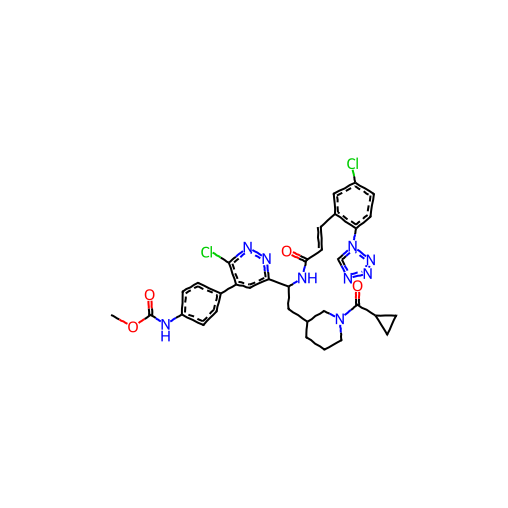 COC(=O)Nc1ccc(-c2cc(C(CC3CCCN(C(=O)C4CC4)C3)NC(=O)C=Cc3cc(Cl)ccc3-n3cnnn3)nnc2Cl)cc1